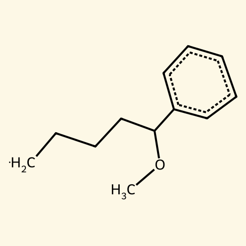 [CH2]CCCC(OC)c1ccccc1